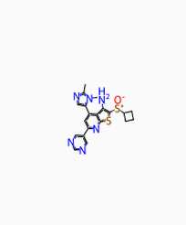 Cc1ncc(-c2cc(-c3cncnc3)nc3sc([S+]([O-])C4CCC4)c(N)c23)n1C